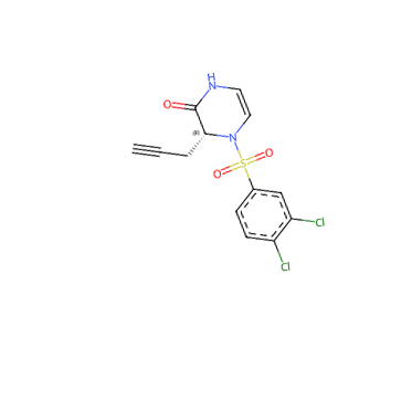 C#CC[C@@H]1C(=O)NC=CN1S(=O)(=O)c1ccc(Cl)c(Cl)c1